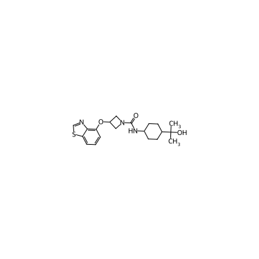 CC(C)(O)C1CCC(NC(=O)N2CC(Oc3cccc4scnc34)C2)CC1